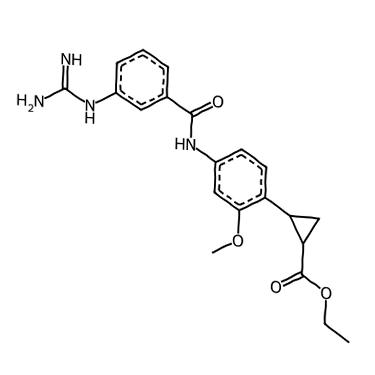 CCOC(=O)C1CC1c1ccc(NC(=O)c2cccc(NC(=N)N)c2)cc1OC